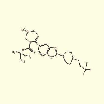 C[C@H]1CC=C(c2ccc3sc(C4CCN(CCC(F)(F)F)CC4)nc3c2)N(C(=O)OC(C)(C)C)C1